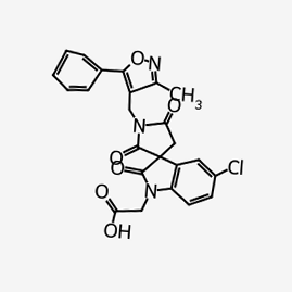 Cc1noc(-c2ccccc2)c1CN1C(=O)CC2(C1=O)C(=O)N(CC(=O)O)c1ccc(Cl)cc12